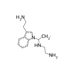 [CH2]C(NCCN)n1cc(CCN)c2ccccc21